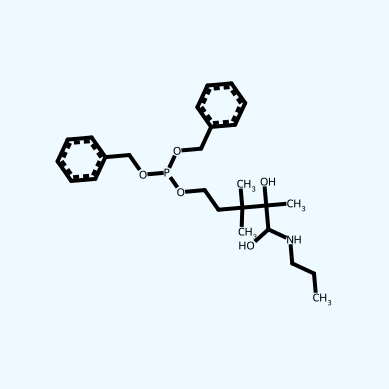 CCCNC(O)C(C)(O)C(C)(C)CCOP(OCc1ccccc1)OCc1ccccc1